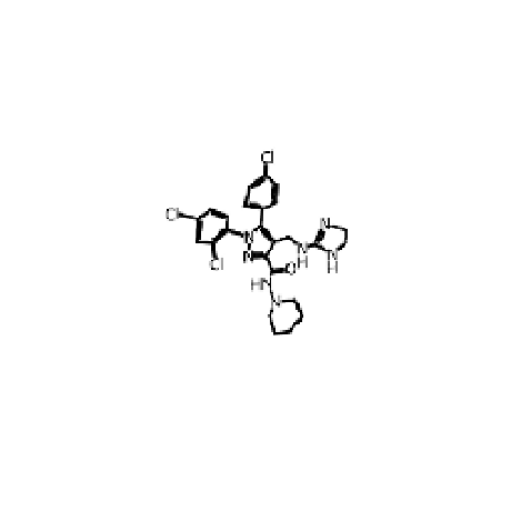 O=C(NN1CCCCC1)c1nn(-c2ccc(Cl)cc2Cl)c(-c2ccc(Cl)cc2)c1CNC1=NCCN1